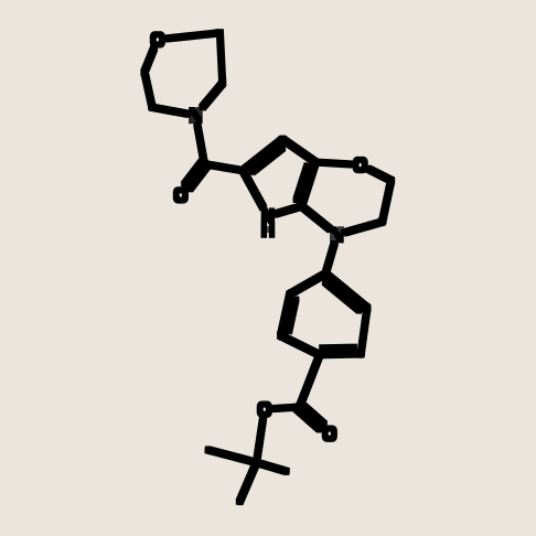 CC(C)(C)OC(=O)c1ccc(N2CCOc3cc(C(=O)N4CCOCC4)[nH]c32)cc1